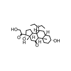 CCNCC.C[C@]12CC[C@@H](O)C[C@H]1CC[C@@H]1[C@@H]2C(=O)C[C@@]2(C)[C@H]1CC[C@]2(O)C(=O)CO